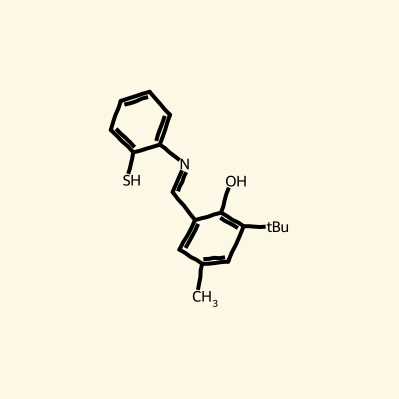 Cc1cc(/C=N/c2ccccc2S)c(O)c(C(C)(C)C)c1